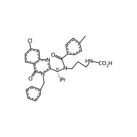 Cc1ccc(C(=O)N(CCCNC(=O)O)[C@@H](c2nc3cc(Cl)ccc3c(=O)n2Cc2ccccc2)C(C)C)cc1